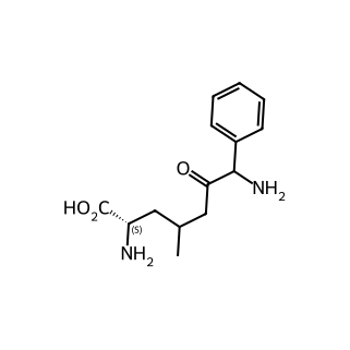 CC(CC(=O)C(N)c1ccccc1)C[C@H](N)C(=O)O